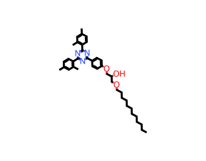 CCCCCCCCCCCCOCC(O)COc1ccc(-c2nc(-c3ccc(C)cc3C)nc(-c3ccc(C)cc3C)n2)cc1